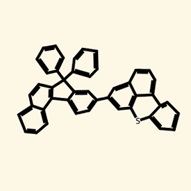 c1ccc(C2(c3ccccc3)c3cc(-c4cc5c6c(cccc6c4)-c4ccccc4S5)ccc3-c3c2ccc2ccccc32)cc1